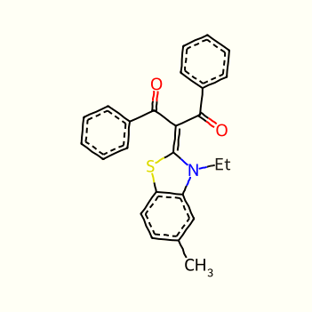 CCN1C(=C(C(=O)c2ccccc2)C(=O)c2ccccc2)Sc2ccc(C)cc21